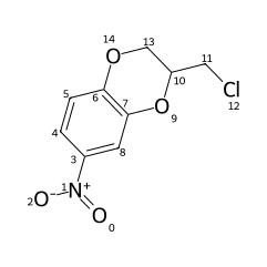 O=[N+]([O-])c1ccc2c(c1)OC(CCl)CO2